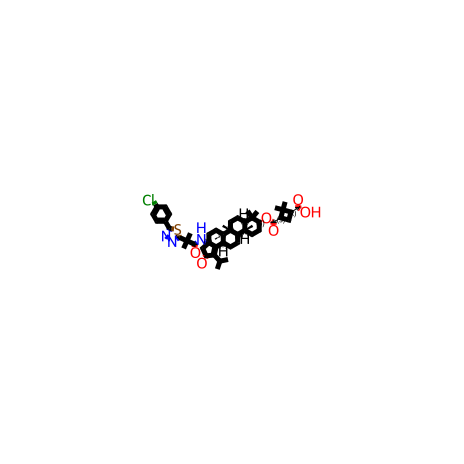 CC(C)C1=C2[C@H]3CC[C@@H]4[C@@]5(C)CC[C@H](OC(=O)[C@H]6C[C@@H](C(=O)O)C6(C)C)C(C)(C)[C@@H]5CC[C@@]4(C)[C@]3(C)CC[C@@]2(NC(=O)C(C)(C)c2nnc(-c3ccc(Cl)cc3)s2)CC1=O